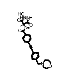 CNC(=O)[C@](C)(C(=O)NO)N(C)C(=O)c1ccc(C#Cc2ccc(CN3CCCOCC3)cc2)cc1